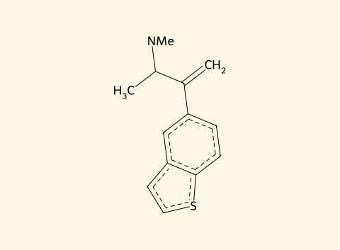 C=C(c1ccc2sccc2c1)C(C)NC